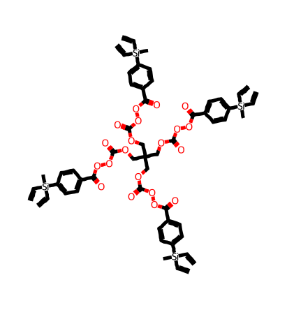 C=C[Si](C)(C=C)c1ccc(C(=O)OOC(=O)OCC(COC(=O)OOC(=O)c2ccc([Si](C)(C=C)C=C)cc2)(COC(=O)OOC(=O)c2ccc([Si](C)(C=C)C=C)cc2)COC(=O)OOC(=O)c2ccc([Si](C)(C=C)C=C)cc2)cc1